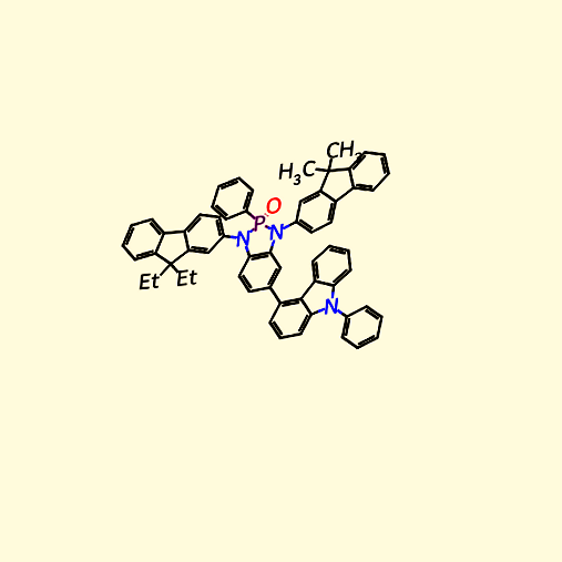 CCC1(CC)c2ccccc2-c2ccc(N3c4ccc(-c5cccc6c5c5ccccc5n6-c5ccccc5)cc4N(c4ccc5c(c4)C(C)(C)c4ccccc4-5)P3(=O)c3ccccc3)cc21